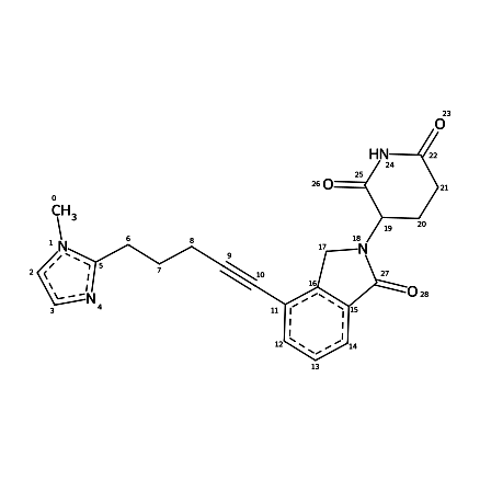 Cn1ccnc1CCCC#Cc1cccc2c1CN(C1CCC(=O)NC1=O)C2=O